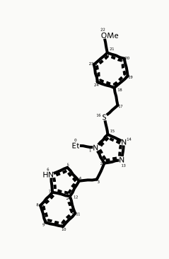 CCn1c(Cc2c[nH]c3ccccc23)nnc1SCc1ccc(OC)cc1